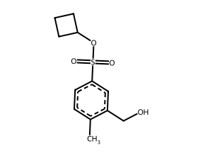 Cc1ccc(S(=O)(=O)OC2CCC2)cc1CO